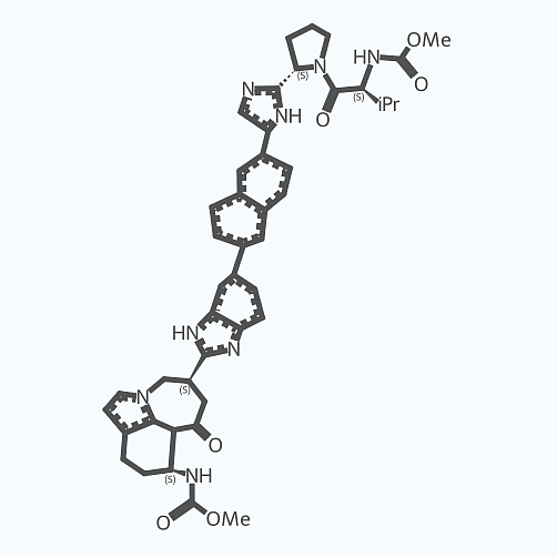 COC(=O)N[C@H]1CCc2ccn3c2C1C(=O)C[C@H](c1nc2ccc(-c4ccc5cc(-c6cnc([C@@H]7CCCN7C(=O)[C@@H](NC(=O)OC)C(C)C)[nH]6)ccc5c4)cc2[nH]1)C3